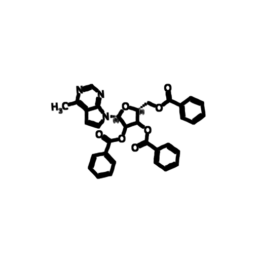 Cc1ncnc2c1ccn2[C@@H]1O[C@H](COC(=O)c2ccccc2)C(OC(=O)c2ccccc2)C1OC(=O)c1ccccc1